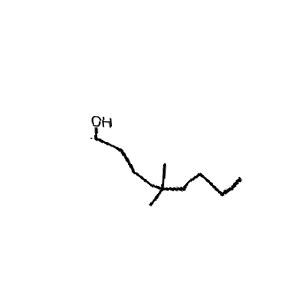 CCCCC(C)(C)CC[CH]O